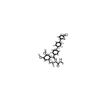 CNC(=O)N1N=C(c2ccc(-c3ccc(-c4ccc(Cl)s4)cc3)cc2)c2cc(OC)c(OC)cc2CC1C